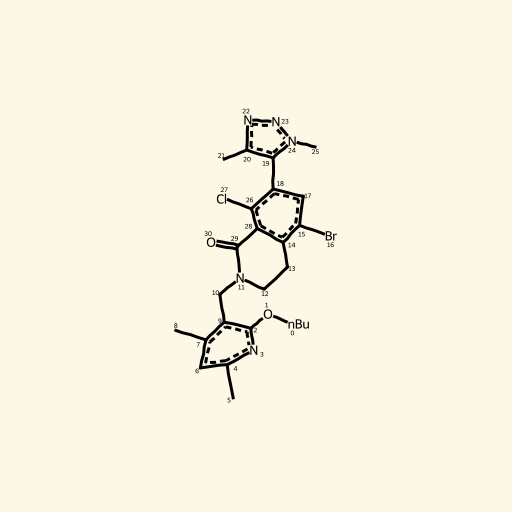 CCCCOc1nc(C)cc(C)c1CN1CCc2c(Br)cc(-c3c(C)nnn3C)c(Cl)c2C1=O